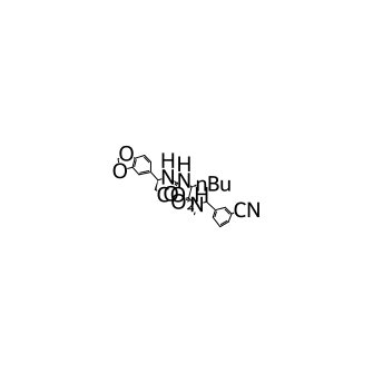 CCCC[C@H](NC(=O)N[C@@H](CC(=O)O)c1ccc2c(c1)OCO2)C(=O)N(C)Cc1cccc(C#N)c1